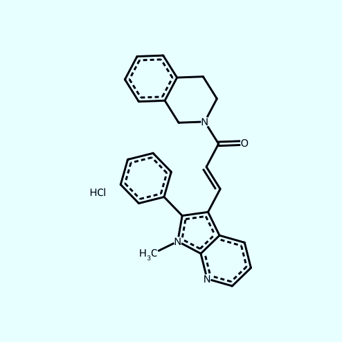 Cl.Cn1c(-c2ccccc2)c(C=CC(=O)N2CCc3ccccc3C2)c2cccnc21